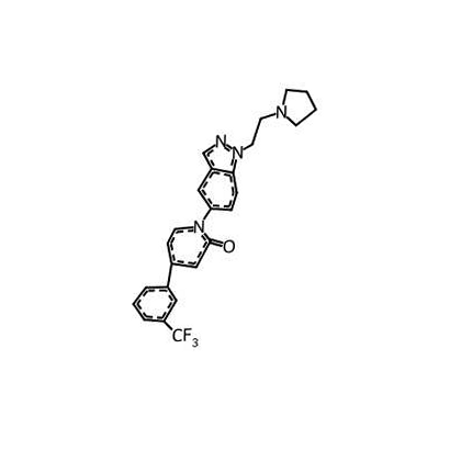 O=c1cc(-c2cccc(C(F)(F)F)c2)ccn1-c1ccc2c(cnn2CCN2CCCC2)c1